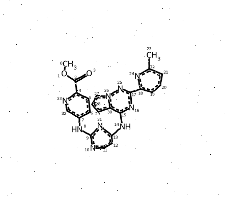 COC(=O)c1ccc(Nc2nccc(Nc3nc(-c4cccc(C)n4)nn4cccc34)n2)cn1